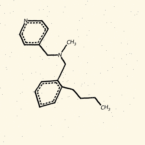 CCCCc1cc[c]cc1CN(C)Cc1ccncc1